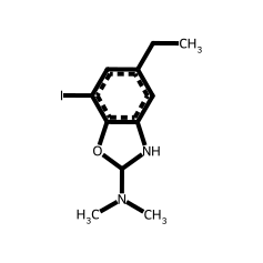 CCc1cc(I)c2c(c1)NC(N(C)C)O2